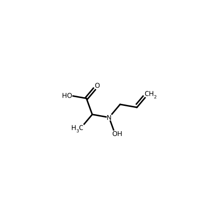 C=CCN(O)C(C)C(=O)O